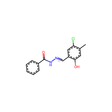 Cc1cc(O)c(/C=N/NC(=O)c2ccccc2)cc1Cl